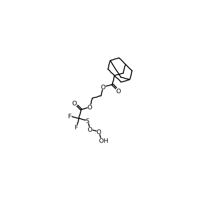 O=C(OCCOC(=O)C(F)(F)SOOO)C12CC3CC(CC(C3)C1)C2